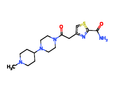 CN1CCC(N2CCN(C(=O)Cc3csc(C(N)=O)n3)CC2)CC1